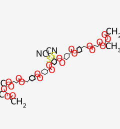 C=CC(=O)OCC(C)OCC(C)OC(=O)CCC(=O)OCCc1ccc(OC(=O)[C@H]2CC[C@H](C(=O)Oc3ccc(OC(=O)[C@H]4CC[C@H](C(=O)Oc5ccc(CCOC(=O)CCC(=O)OC(C)COC(=O)C=C)cc5)CC4)c4c3SC(=C(C#N)C#N)S4)CC2)cc1